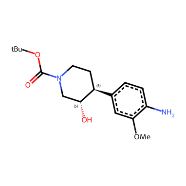 COc1cc([C@@H]2CCN(C(=O)OC(C)(C)C)C[C@H]2O)ccc1N